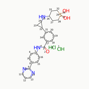 Cl.Cl.O=C(Nc1ccc(-c2ncccn2)cc1)c1cccc(C2CC2NC2CCS(O)(O)CC2)c1